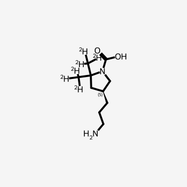 [2H]C([2H])([2H])C1(C([2H])([2H])[2H])C[C@H](CCCN)CN1C(=O)O